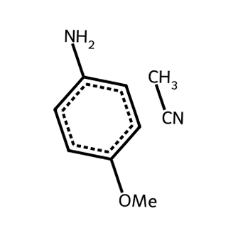 CC#N.COc1ccc(N)cc1